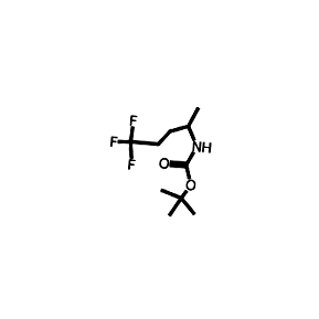 CC(CCC(F)(F)F)NC(=O)OC(C)(C)C